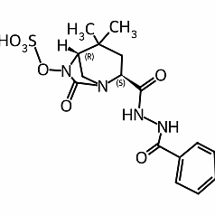 CC1(C)C[C@@H](C(=O)NNC(=O)c2ccccc2)N2C[C@@H]1N(OS(=O)(=O)O)C2=O